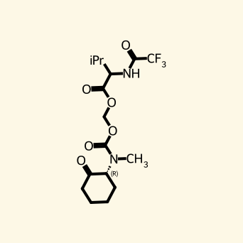 CC(C)C(NC(=O)C(F)(F)F)C(=O)OCOC(=O)N(C)[C@@H]1CCCCC1=O